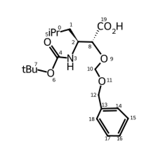 CC(C)C[C@H](NC(=O)OC(C)(C)C)[C@@H](OCOCc1ccccc1)C(=O)O